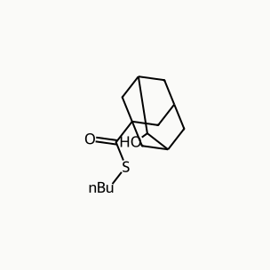 CCCCSC(=O)C12CC3CC(C1)C(O)C(C3)C2